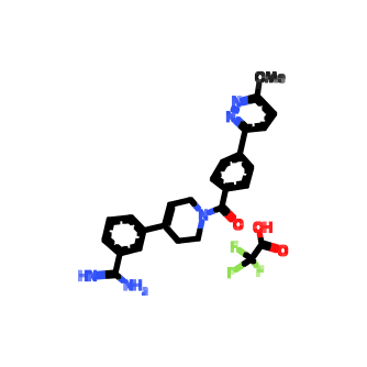 COc1ccc(-c2ccc(C(=O)N3CC=C(c4cccc(C(=N)N)c4)CC3)cc2)nn1.O=C(O)C(F)(F)F